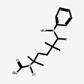 CCN(C(=O)C(C)(C)C)C(C)(C)CCC(C)(C)C(F)N(c1ccccc1)C(C)(C)C